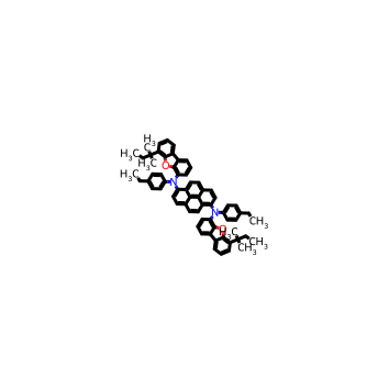 CCc1ccc(N(c2ccc3ccc4c(N(c5ccc(CC)cc5)c5cccc6c5oc5c(C(C)(C)CC)cccc56)ccc5ccc2c3c54)c2cccc3c2oc2c(C(C)(C)CC)cccc23)cc1